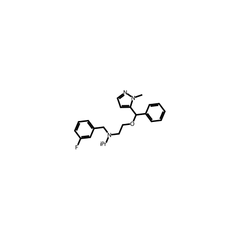 CC(C)N(CCOC(c1ccccc1)c1ccnn1C)Cc1cccc(F)c1